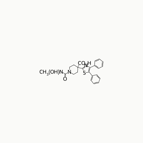 CN(O)C(=O)N1CCC(C(=O)O)(c2nc(-c3ccccc3)c(-c3ccccc3)s2)CC1